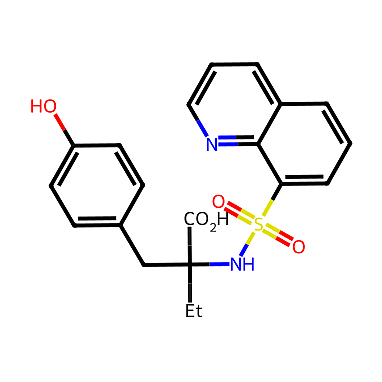 CCC(Cc1ccc(O)cc1)(NS(=O)(=O)c1cccc2cccnc12)C(=O)O